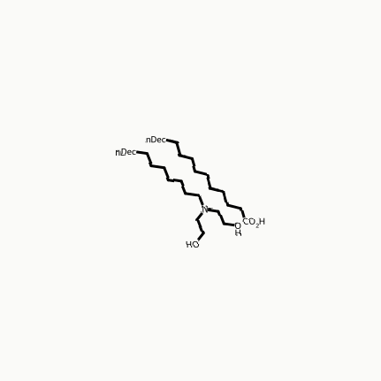 CCCCCCCCCCCCCCCCCCCC(=O)O.CCCCCCCCCCCCCCCCCN(CCO)CCO